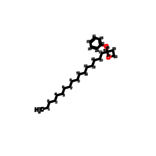 CCCCCCCCCCCCCCCCCC1(Oc2ccccc2)CCO1